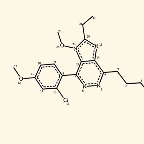 CCCCc1nnc(-c2ccc(OC)cc2Cl)c2c1nc(CC)n2OC